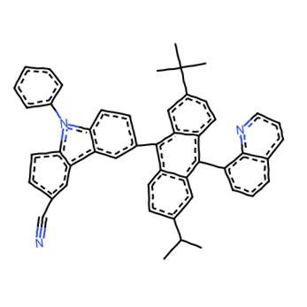 CC(C)c1ccc2c(-c3ccc4c(c3)c3cc(C#N)ccc3n4-c3ccccc3)c3cc(C(C)(C)C)ccc3c(-c3cccc4cccnc34)c2c1